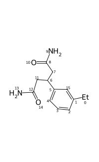 CCc1cccc(C(CC(N)=O)CC(N)=O)c1